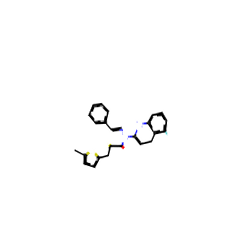 Cc1ccc(CC(=S)C(=O)N(/C=C/c2ccccc2)C2=CCc3c(F)cccc3N2)s1